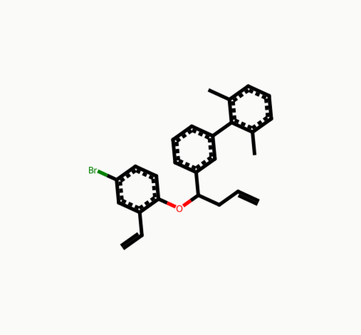 C=CCC(Oc1ccc(Br)cc1C=C)c1cccc(-c2c(C)cccc2C)c1